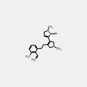 C=Cc1c(C)cccc1CCC1=C(C2=CCN(C)N2C(C)C)CN(C)C1